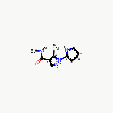 CCN(C)C(=O)c1cnn(-c2ccccn2)c1C#N